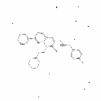 O=c1c(CNCc2ccc(F)cc2)cc2ccc(-c3ccccc3)cc2n1CCN1CCCCC1